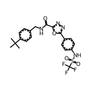 CC(C)(C)c1ccc(CNC(=O)c2nnc(-c3ccc(NS(=O)(=O)C(F)(F)F)cc3)o2)cc1